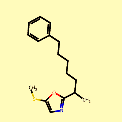 CSc1cnc(C(C)CCCCCc2ccccc2)o1